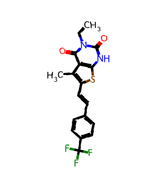 CCn1c(=O)[nH]c2sc(C=Cc3ccc(C(F)(F)F)cc3)c(C)c2c1=O